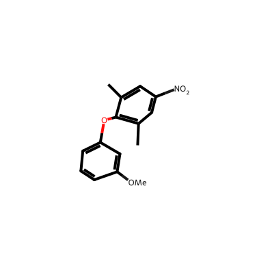 COc1cccc(Oc2c(C)cc([N+](=O)[O-])cc2C)c1